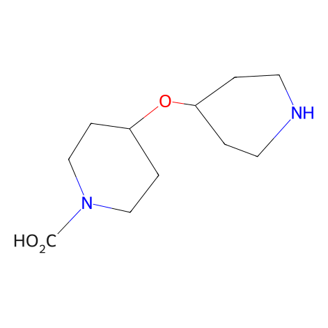 O=C(O)N1CCC(OC2CCNCC2)CC1